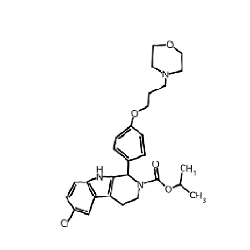 CC(C)OC(=O)N1CCc2c([nH]c3ccc(Cl)cc23)C1c1ccc(OCCCN2CCOCC2)cc1